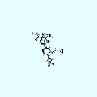 CC(NC(=O)c1cc(OCC2CC2)c(N2CC(F)(F)C2)cn1)C(C)(C)C(N)=O